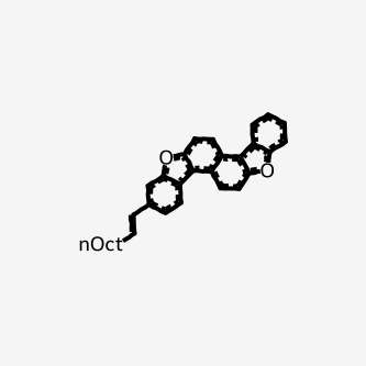 CCCCCCCC/C=C/c1ccc2c(c1)oc1ccc3c(ccc4oc5ccccc5c43)c12